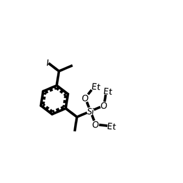 CCO[Si](OCC)(OCC)C(C)c1cccc(C(C)I)c1